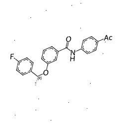 CC(=O)c1ccc(NC(=O)c2cccc(O[C@H](C)c3ccc(F)cc3)c2)cc1